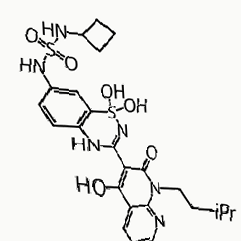 CC(C)CCn1c(=O)c(C2=NS(O)(O)c3cc(NS(=O)(=O)NC4CCC4)ccc3N2)c(O)c2cccnc21